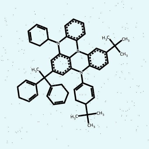 CC(C)(C)c1ccc2c(c1)B1c3ccccc3N(C3C=CC=CC3)c3cc(C(C)(C4=CCCC=C4)C4=CC=CCC4)cc(c31)N2C1=CCC(C(C)(C)C)C=C1